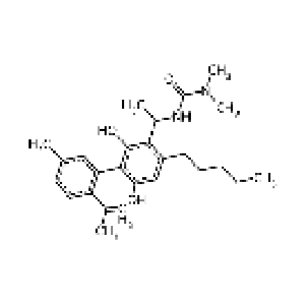 C=C(C)c1ccc(C)cc1-c1c(O)cc(CCCCC)c(C(C)NC(=O)N(C)C)c1O